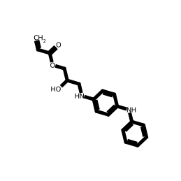 C=CC(=O)OCC(O)CNc1ccc(Nc2ccccc2)cc1